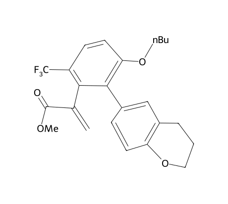 C=C(C(=O)OC)c1c(C(F)(F)F)ccc(OCCCC)c1-c1ccc2c(c1)CCCO2